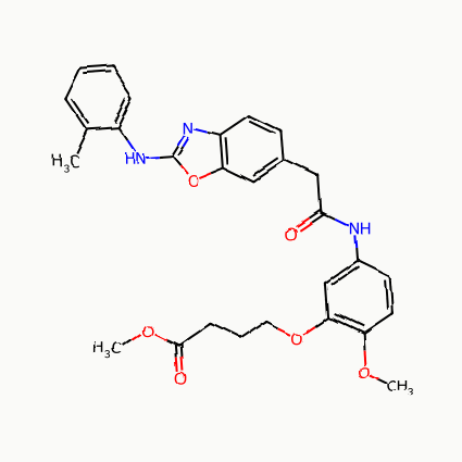 COC(=O)CCCOc1cc(NC(=O)Cc2ccc3nc(Nc4ccccc4C)oc3c2)ccc1OC